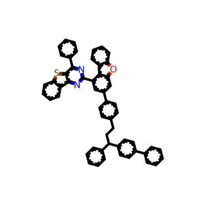 c1ccc(-c2ccc(C(CCc3ccc(-c4cc(-c5nc(-c6ccccc6)c6sc7ccccc7c6n5)c5c(c4)oc4ccccc45)cc3)c3ccccc3)cc2)cc1